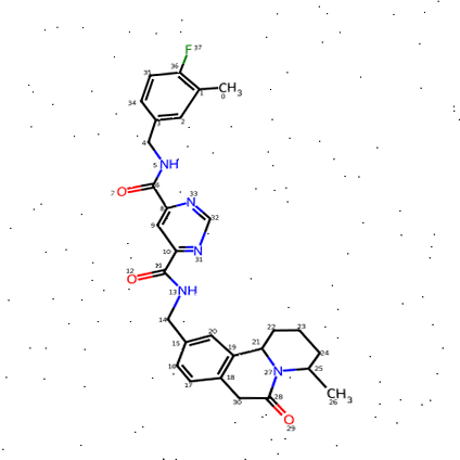 Cc1cc(CNC(=O)c2cc(C(=O)NCc3ccc4c(c3)C3CCCC(C)N3C(=O)C4)ncn2)ccc1F